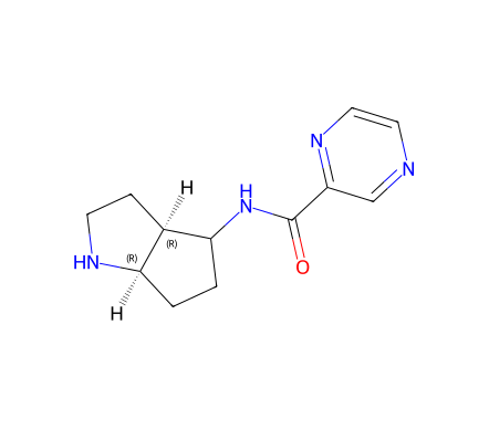 O=C(NC1CC[C@H]2NCC[C@@H]12)c1cnccn1